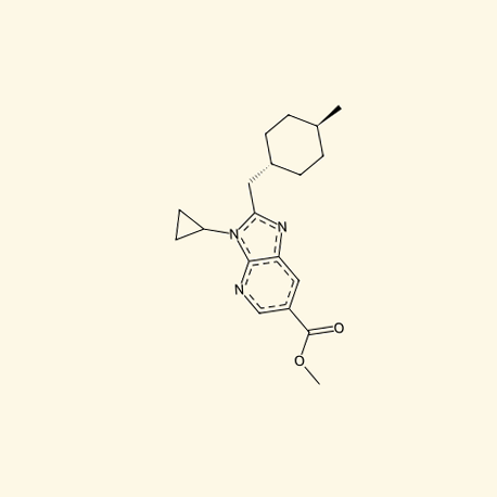 COC(=O)c1cnc2c(c1)nc(C[C@H]1CC[C@H](C)CC1)n2C1CC1